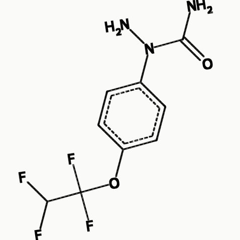 NC(=O)N(N)c1ccc(OC(F)(F)C(F)F)cc1